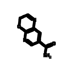 NC(=O)c1cnc2c(c1)N=CCO2